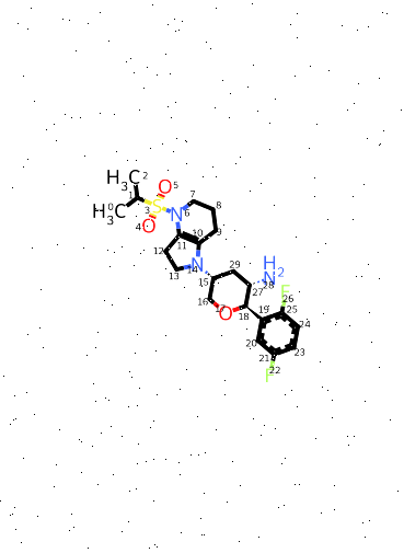 CC(C)S(=O)(=O)N1CCCC2=C1CCN2[C@H]1CO[C@H](c2cc(F)ccc2F)[C@@H](N)C1